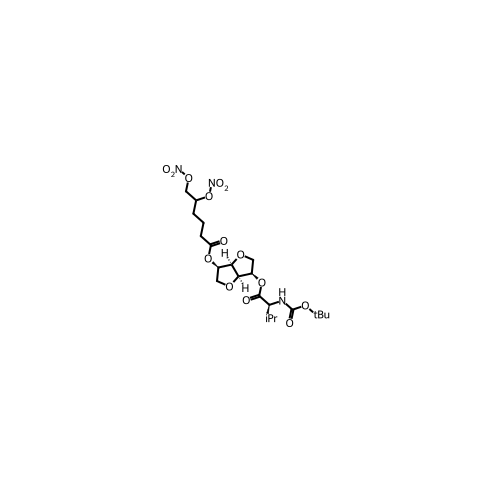 CC(C)[C@H](NC(=O)OC(C)(C)C)C(=O)O[C@@H]1CO[C@H]2[C@@H]1OC[C@H]2OC(=O)CCCC(CO[N+](=O)[O-])O[N+](=O)[O-]